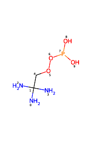 NC(N)(N)COOP(O)O